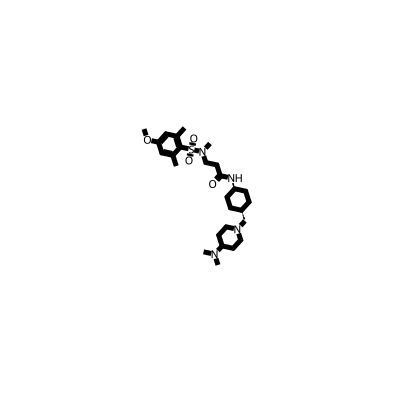 COc1cc(C)c(S(=O)(=O)N(C)CCC(=O)N[C@H]2CC[C@@H](CN3CCC(N(C)C)CC3)CC2)c(C)c1